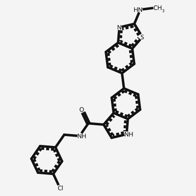 CNc1nc2ccc(-c3ccc4[nH]cc(C(=O)NCc5cccc(Cl)c5)c4c3)cc2s1